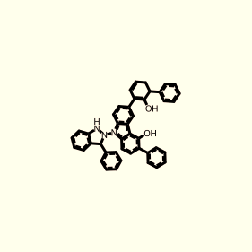 OC1=C(c2ccc3c(c2)c2c(O)c(-c4ccccc4)ccc2n3N2Nc3ccccc3C2c2ccccc2)C=CCC1c1ccccc1